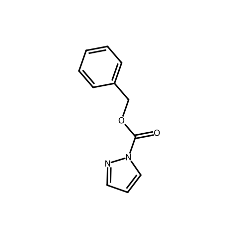 O=C(OCc1ccccc1)n1cccn1